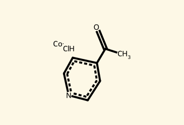 CC(=O)c1ccncc1.Cl.[Co]